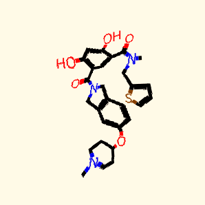 CN1CCC(Oc2ccc3c(c2)CN(C(=O)c2cc(C(=O)N(C)Cc4cccs4)c(O)cc2O)C3)CC1